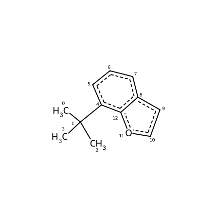 CC(C)(C)c1cccc2ccoc12